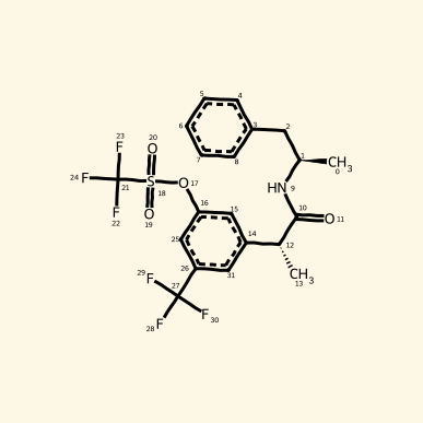 C[C@H](Cc1ccccc1)NC(=O)[C@H](C)c1cc(OS(=O)(=O)C(F)(F)F)cc(C(F)(F)F)c1